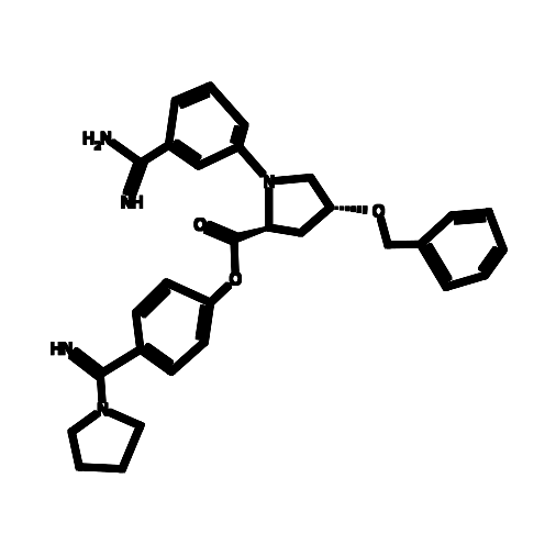 N=C(N)c1cccc(N2C[C@H](OCc3ccccc3)C[C@H]2C(=O)Oc2ccc(C(=N)N3CCCC3)cc2)c1